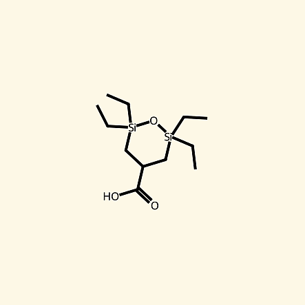 CC[Si]1(CC)CC(C(=O)O)C[Si](CC)(CC)O1